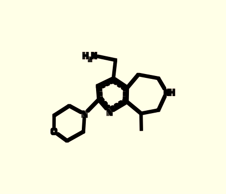 CC1CNCCc2c(CN)cc(N3CCOCC3)nc21